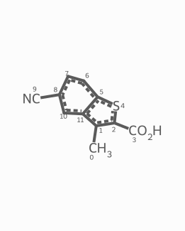 Cc1c(C(=O)O)sc2ccc(C#N)cc12